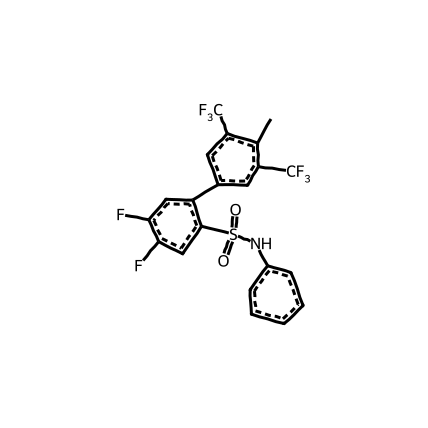 Cc1c(C(F)(F)F)cc(-c2cc(F)c(F)cc2S(=O)(=O)Nc2ccccc2)cc1C(F)(F)F